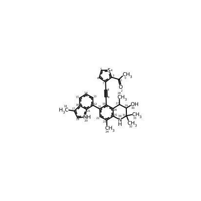 CC(=O)c1sccc1C#Cc1c(-c2cccc3c(C)c[nH]c23)cc(C)c2c1C(C)C(O)C(C)(C)N2